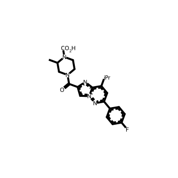 CC(C)c1cc(-c2ccc(F)cc2)nn2cc(C(=O)N3CCN(C(=O)O)C(C)C3)nc12